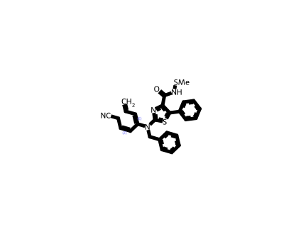 C=C/C=C(\C=C/CC#N)N(Cc1ccccc1)c1nc(C(=O)NSC)c(-c2ccccc2)s1